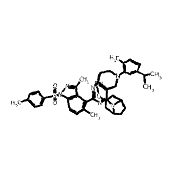 COC1CC2CCC(C1)N2c1nc(-c2c(C)ccc3c2c(C)nn3S(=O)(=O)c2ccc(C)cc2)nc2c1CN(c1cc(C(C)C)ccc1C)CC2